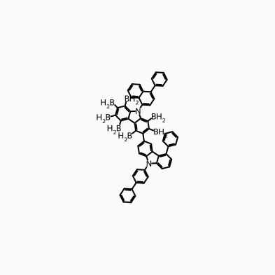 Bc1c(B)c(B)c2c(c1B)c1c(B)c(-c3ccc4c(c3)c3c(-c5ccccc5)cccc3n4-c3ccc(-c4ccccc4)cc3)c(B)c(B)c1n2-c1ccc(-c2ccccc2)c2ccccc12